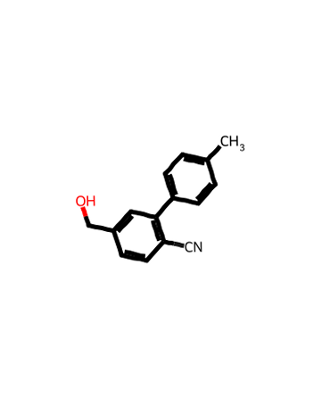 Cc1ccc(-c2cc(CO)ccc2C#N)cc1